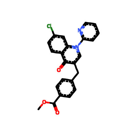 COC(=O)c1ccc(Cc2cn(-c3ccccn3)c3cc(Cl)ccc3c2=O)cc1